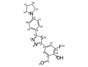 O=Cc1cc(-c2nnc(-c3ccc(N4CCCC4)cc3)s2)cc(F)c1O